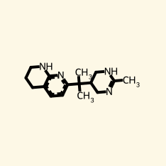 CC1=NCC(C(C)(C)c2ccc3c(n2)NCCC3)CN1